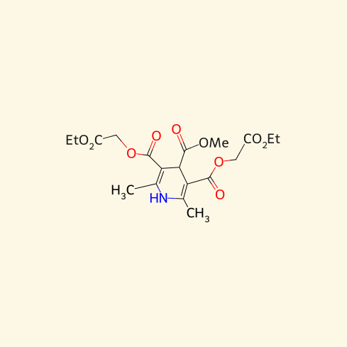 CCOC(=O)COC(=O)C1=C(C)NC(C)=C(C(=O)OCC(=O)OCC)C1C(=O)OC